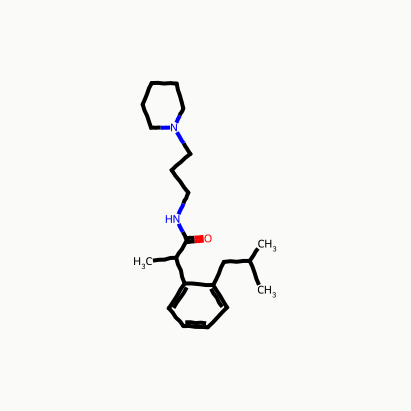 CC(C)Cc1ccccc1C(C)C(=O)NCCCN1CCCCC1